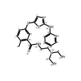 Cc1ccc(Sc2cnc(Nc3ccccn3)s2)cc1C(=O)NCCN(CC(C)C)CC(C)C